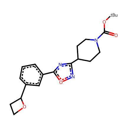 CC(C)(C)OC(=O)N1CCC(c2noc(-c3cccc(C4CCO4)c3)n2)CC1